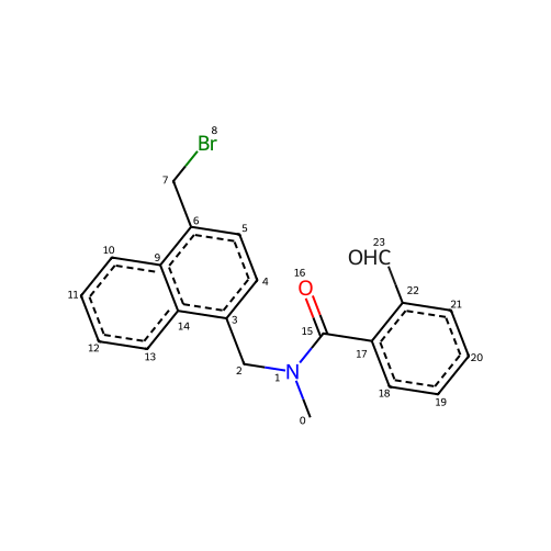 CN(Cc1ccc(CBr)c2ccccc12)C(=O)c1ccccc1C=O